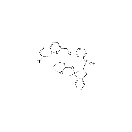 CC(C)(OC1CCCCO1)c1ccccc1CC[C@@H](O)c1cccc(OCc2ccc3ccc(Cl)cc3n2)c1